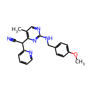 COc1ccc(CNc2ncc(C)c(C(C#N)c3ccccn3)n2)cc1